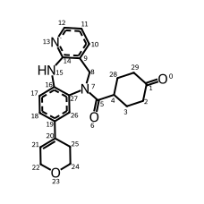 O=C1CCC(C(=O)N2Cc3cccnc3Nc3ccc(C4=CCOCC4)cc32)CC1